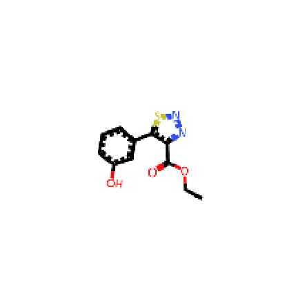 CCOC(=O)c1nnsc1-c1cccc(O)c1